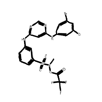 CN(OC(=O)C(F)(F)F)S(=O)(=O)c1cccc(Nc2cc(Nc3cc(Cl)cc(Br)c3)ncn2)c1